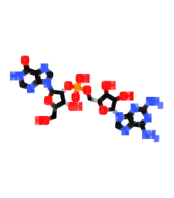 Nc1nc(N)c2ncn([C@@H]3O[C@H](COP(=O)(O)O[C@@H]4[C@H](O)[C@@H](CO)O[C@H]4n4cnc5c(=O)[nH]cnc54)[C@@H](O)[C@H]3O)c2n1